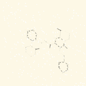 C=C1OCCn2c1nc(C(=O)NCc1ccc(F)cc1N1CCCCC1=O)c(OCc1ccccc1)c2=O